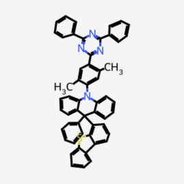 Cc1cc(N2c3ccccc3C(c3ccccc3)(c3cccc4c3sc3ccccc34)c3ccccc32)c(C)cc1-c1nc(-c2ccccc2)nc(-c2ccccc2)n1